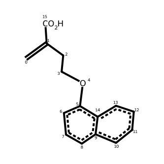 C=C(CCOc1cccc2ccccc12)C(=O)O